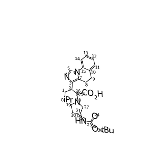 CC(C)CC(c1ncn2c1CCc1ccccc1-2)[C@@H](C(=O)O)N1CC[C@H](NC(=O)OC(C)(C)C)C1